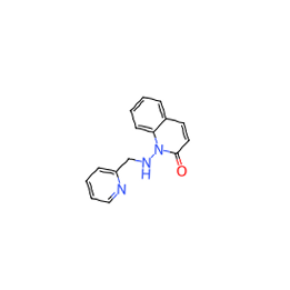 O=c1ccc2ccccc2n1NCc1ccccn1